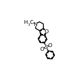 CN1CCc2oc3cc(S(=O)(=O)c4ccccc4)ccc3c2C1